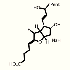 CCCCC[C@H](O)/C=C/[C@@H]1[C@H]2C(F)/C(=C/CCCC(=O)O)O[C@H]2C[C@H]1O.[NaH]